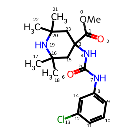 COC(=O)C1(NC(=O)Nc2cccc(Cl)c2)CC(C)(C)NC(C)(C)C1